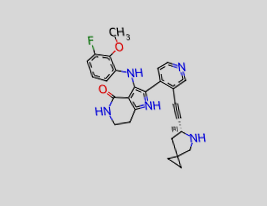 COc1c(F)cccc1Nc1c(-c2ccncc2C#C[C@H]2CC3(CC3)CN2)[nH]c2c1C(=O)NCC2